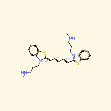 CNCCCN1/C(=C/C=C/C=C/c2sc3ccccc3[n+]2CCCNC)Sc2ccccc21